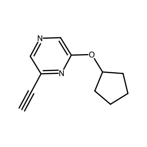 C#Cc1cncc(OC2CCCC2)n1